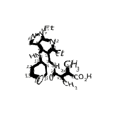 CCc1nc2c(cnn2CC)c(NC2CCOCC2)c1CNC(=O)C(C)C(C)C(=O)O